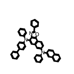 c1ccc(-c2ccc(N(c3ccccc3)c3cc4cc(N(c5ccccc5)c5ccc6ccccc6c5)ccc4c4oc(-c5ccccc5)nc34)cc2)cc1